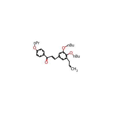 C=CCc1cc(C=CC(=O)c2ccc(OCCC)cc2)cc(OCCCC)c1OCCCC